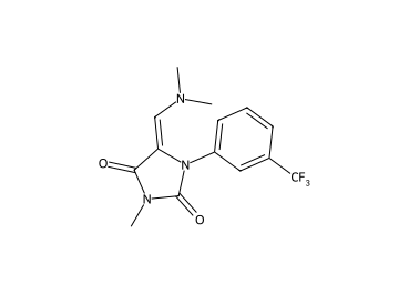 CN(C)/C=C1/C(=O)N(C)C(=O)N1c1cccc(C(F)(F)F)c1